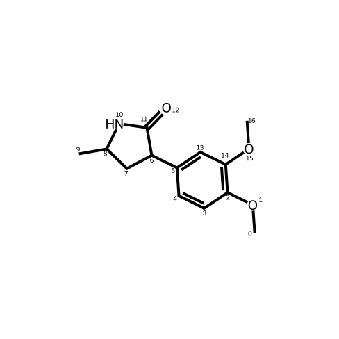 COc1ccc(C2CC(C)NC2=O)cc1OC